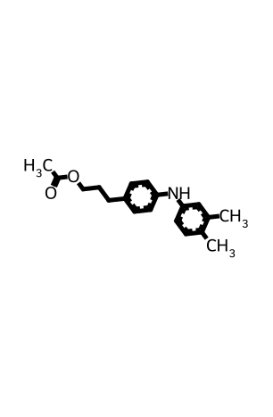 CC(=O)OCCCc1ccc(Nc2ccc(C)c(C)c2)cc1